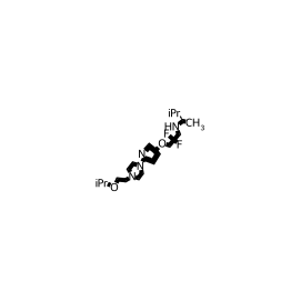 CC(C)OCCN1CCN(c2ccc(OCC(F)(F)CN[C@@H](C)C(C)C)cn2)CC1